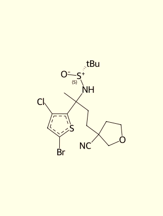 CC(CCC1(C#N)CCOC1)(N[S@+]([O-])C(C)(C)C)c1sc(Br)cc1Cl